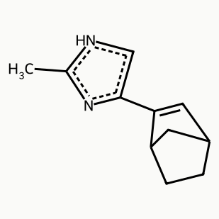 Cc1nc(C2=CC3CCC2C3)c[nH]1